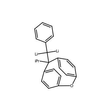 [Li][C]([Li])(c1ccccc1)C1(C(C)C)c2ccc(cc2)Oc2ccc1cc2